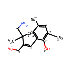 CC(C)(CN)C(=Cc1cc(C(C)(C)C)cc(C(C)(C)C)c1O)CO